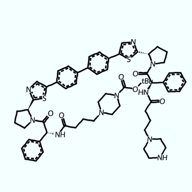 CC(C)(C)OC(=O)N1CCN(CCCC(=O)N[C@@H](C(=O)N2CCC[C@H]2c2ncc(-c3ccc(-c4ccc(-c5cnc([C@@H]6CCCN6C(=O)[C@H](NC(=O)CCCN6CCNCC6)c6ccccc6)s5)cc4)cc3)s2)c2ccccc2)CC1